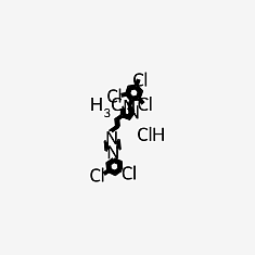 Cc1c(/C=C/CN2CCN(c3cc(Cl)cc(Cl)c3)CC2)cnn1-c1c(Cl)cc(Cl)cc1Cl.Cl